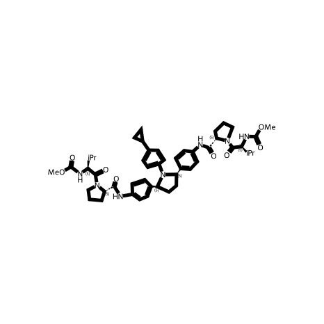 COC(=O)N[C@H](C(=O)N1CCC[C@H]1C(=O)Nc1ccc([C@@H]2CC[C@@H](c3ccc(NC(=O)[C@@H]4CCCN4C(=O)[C@@H](NC(=O)OC)C(C)C)cc3)N2c2ccc(C3CC3)cc2)cc1)C(C)C